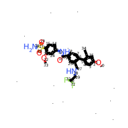 COc1ccc(-c2ccc(C(=O)Nc3ccc(S(N)(=O)=O)c(OC)c3)cc2CNCC(F)F)c(C)c1